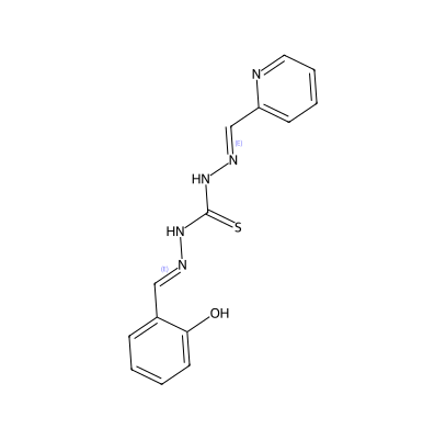 Oc1ccccc1/C=N/NC(=S)N/N=C/c1ccccn1